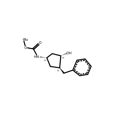 CC(C)(C)OC(=O)N[C@H]1C[C@H](Cc2ccccc2)[C@@H](O)C1